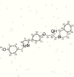 COc1ccc(Cn2ccc(-c3ccc(OC[C@H](O)CN4CCc5ccccc5C4)cc3)n2)cc1